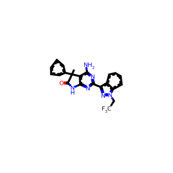 CC1(c2ccccc2)C(=O)Nc2nc(-c3nn(CC(F)(F)F)c4ccccc34)nc(N)c21